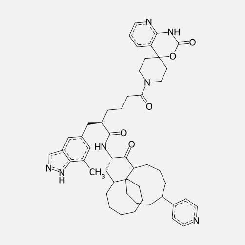 Cc1cc(C[C@@H](CCCC(=O)N2CCC3(CC2)OC(=O)Nc2ncccc23)C(=O)N[C@@H](CC2CCCCCCC2)C(=O)C2CCCCC(c3ccncc3)CCC2)cc2cn[nH]c12